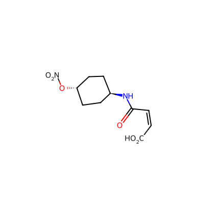 O=C(O)/C=C\C(=O)N[C@H]1CC[C@H](O[N+](=O)[O-])CC1